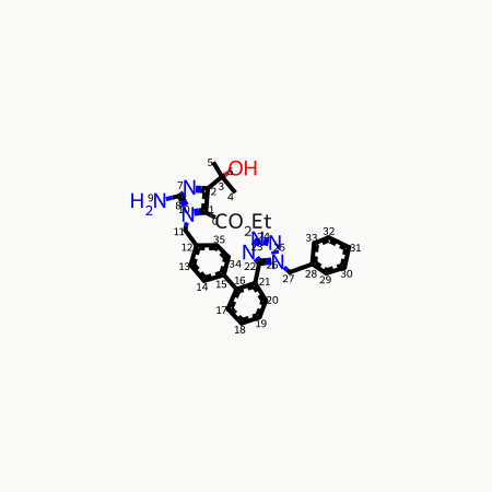 CCOC(=O)c1c(C(C)(C)O)nc(N)n1Cc1ccc(-c2ccccc2-c2nnnn2Cc2ccccc2)cc1